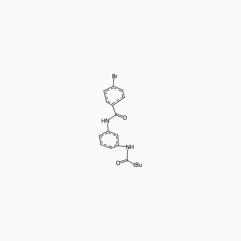 CC(C)(C)C(=O)Nc1cccc(NC(=O)c2ccc(Br)cc2)c1